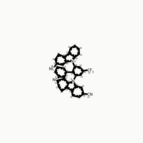 N#Cc1cccc(-c2c(-n3c4ccccc4c4ccc(C#N)cc43)cc(C(F)(F)F)cc2-n2c3ccccc3c3ccc(C#N)cc32)c1